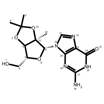 CC1(C)OC2[C@@H](CO)O[C@@H](n3cnc4c(=O)[nH]c(N)nc43)[C@]2(C)O1